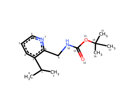 CC(C)c1cccnc1CNC(=O)OC(C)(C)C